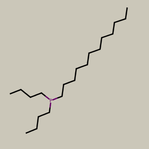 CCCCCCCCCCCCP(CCCC)CCCC